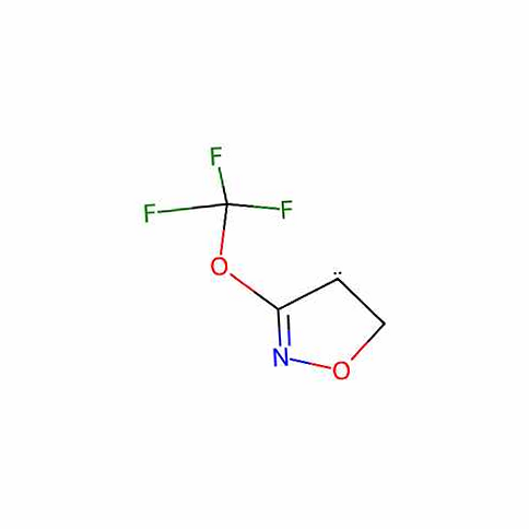 FC(F)(F)OC1=NOC[C]1